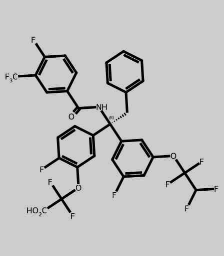 O=C(N[C@@](Cc1ccccc1)(c1cc(F)cc(OC(F)(F)C(F)F)c1)c1ccc(F)c(OC(F)(F)C(=O)O)c1)c1ccc(F)c(C(F)(F)F)c1